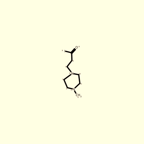 CN1CCN(CCC(=O)I)CC1